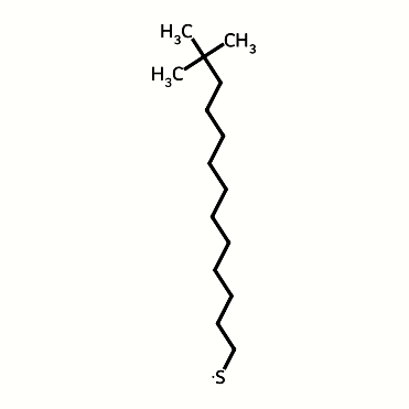 CC(C)(C)CCCCCCCCCCC[S]